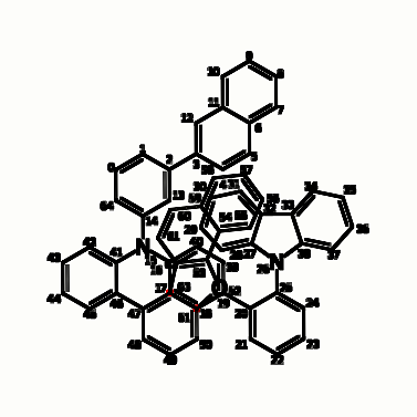 c1cc(-c2ccc3ccccc3c2)cc(N(c2ccc(-c3ccccc3-n3c4ccccc4c4ccccc43)cc2)c2ccccc2-c2cccc3oc4c5ccccc5ccc4c23)c1